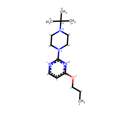 CCCOc1ccnc(N2CCN(C(C)(C)C)CC2)n1